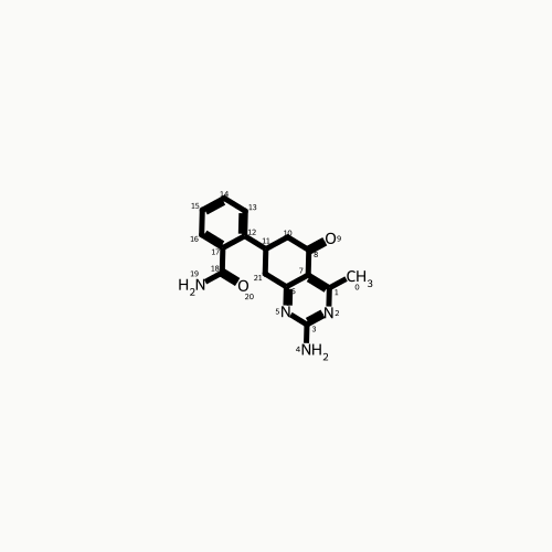 Cc1nc(N)nc2c1C(=O)CC(c1ccccc1C(N)=O)C2